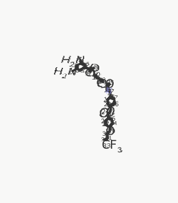 Nc1cc(N)cc(C(=O)OCCCOC(=O)/C=C/c2ccc(OC(=O)c3ccc(OCCCC(F)(F)F)cc3)cc2)c1